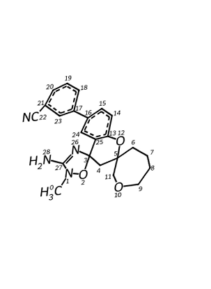 CN1OC2(CC3(CCCCOC3)Oc3ccc(-c4cccc(C#N)c4)cc32)N=C1N